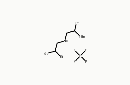 CCCCC(CC)CNCC(CC)CCCC.F[B-](F)(F)F